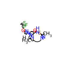 Cc1nn2cc1SNC(=O)c1ccc(-n3ccc(OCCC4(C(F)(F)F)CC4)n3)nc1N1CC(CCCC2)CC1(C)C